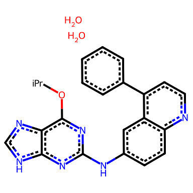 CC(C)Oc1nc(Nc2ccc3nccc(-c4ccccc4)c3c2)nc2[nH]cnc12.O.O